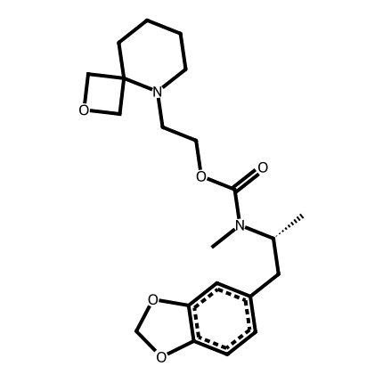 C[C@H](Cc1ccc2c(c1)OCO2)N(C)C(=O)OCCN1CCCCC12COC2